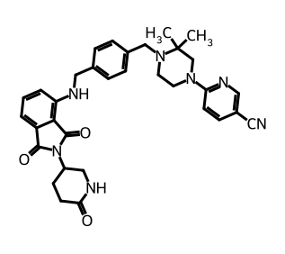 CC1(C)CN(c2ccc(C#N)cn2)CCN1Cc1ccc(CNc2cccc3c2C(=O)N(C2CCC(=O)NC2)C3=O)cc1